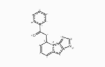 O=C(CC1C=CC=c2cc3c(n21)=NC=N3)c1ccccc1